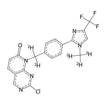 [2H]C([2H])([2H])n1cc(C(F)(F)F)nc1-c1ccc(C([2H])([2H])n2c(=O)ccc3cnc(Cl)nc32)cc1